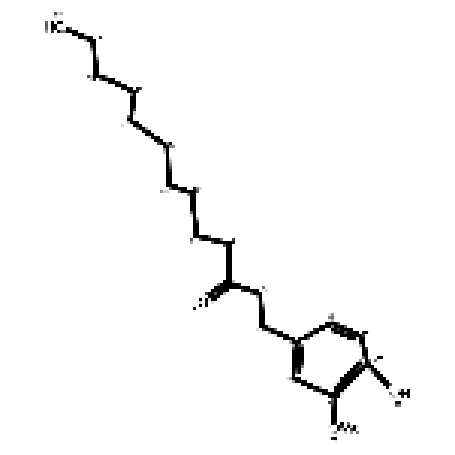 COc1cc(CCC(=O)CCCCCCCCCO)ccc1O